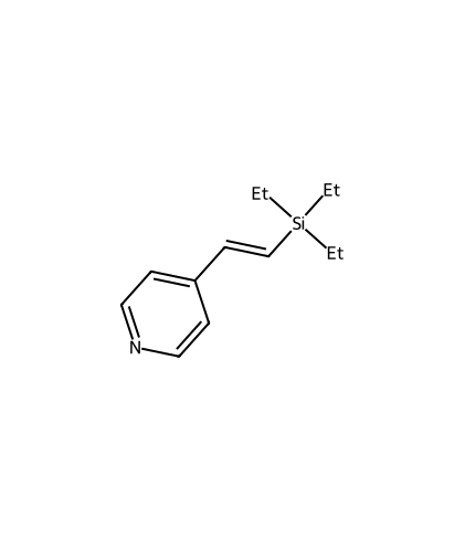 CC[Si](C=Cc1ccncc1)(CC)CC